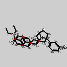 CCN(CC)C(=O)c1ccc(C=C2CC3CCC(c4cccc(O)c4)(C2)N3CCCc2ccccc2)cc1